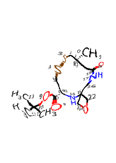 C[C@H]1CSSC[C@@H](C(=O)OC(C)(C)C)NC2(CNC1=O)COC2